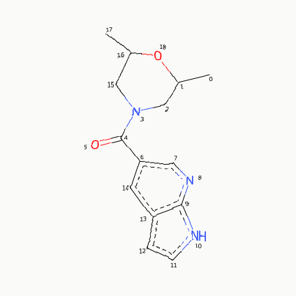 CC1CN(C(=O)c2cnc3[nH]ccc3c2)CC(C)O1